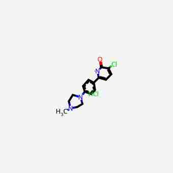 CN1CCN(c2ccc(C3=CC=C(Cl)C(=O)[N]3)cc2)CC1.Cl